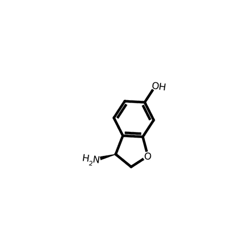 N[C@@H]1COc2cc(O)ccc21